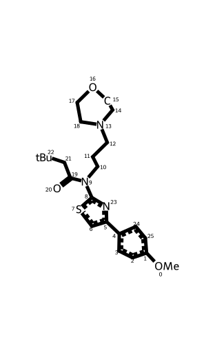 COc1ccc(-c2csc(N(CCCN3CCOCC3)C(=O)CC(C)(C)C)n2)cc1